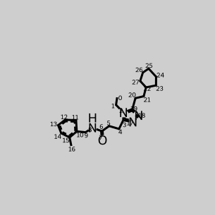 CCn1c(CCC(=O)NCc2ccccc2C)nnc1CCC1CCCCC1